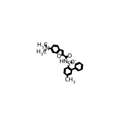 Cc1ccc([S+]([O-])NC(=O)c2cc3ccc(N(C)C)cc3o2)c(-c2ccccc2)c1